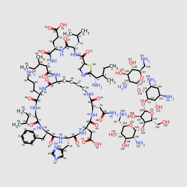 CCC(C)[C@H](N)C1=NCC(C(=O)N[C@@H](CC(C)C)C(=O)N[C@H](CCC(=O)O)C(=O)N[C@H](C(=O)N[C@H]2CCCCNC(=O)[C@H](CC(N)=O)NC(=O)[C@@H](CC(=O)O)NC(=O)[C@H](Cc3cnc[nH]3)NC(=O)[C@@H](Cc3ccccc3)NC(=O)[C@H](C(C)CC)NC(=O)[C@@H](CCCN)NC2=O)C(C)CC)S1.NC[C@@H]1O[C@H](O[C@H]2[C@@H](O)[C@H](O[C@@H]3[C@@H](O)[C@H](N)C[C@H](N)[C@H]3O[C@H]3O[C@H](CN)[C@@H](O)[C@H](O)[C@H]3N)O[C@@H]2CO)[C@H](N)[C@@H](O)[C@@H]1O